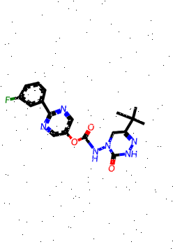 CC(C)(C)C1=NNC(=O)N(NC(=O)Oc2cnc(-c3cccc(F)c3)nc2)C1